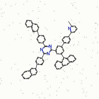 Cc1cccc(-c2ccc(-c3cc(-c4nc(-c5ccc(-c6ccc7ccccc7c6)cc5)nc(-c5ccc(-c6ccc7ccccc7c6)cc5)n4)cc(-c4c5ccccc5cc5ccccc45)c3)cc2)n1